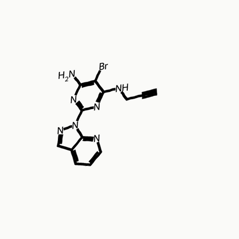 C#CCNc1nc(-n2ncc3cccnc32)nc(N)c1Br